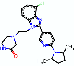 C[C@H]1CC[C@H](C)N1c1ccc(-c2nc3c(Cl)cccc3n2CCN2CCNC(=O)C2)cn1